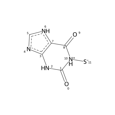 O=C1Nc2nc[nH]c2C(=O)[NH+]1[S-]